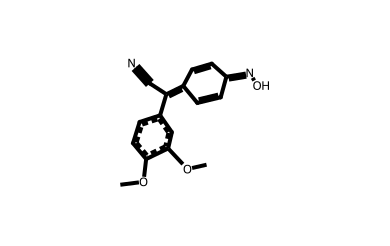 COc1ccc(C(C#N)=C2C=CC(=NO)C=C2)cc1OC